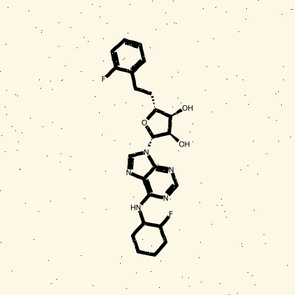 O[C@@H]1[C@H](O)[C@@H](CCc2ccccc2F)O[C@H]1n1cnc2c(NC3CCCCC3F)ncnc21